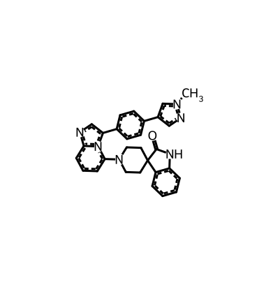 Cn1cc(-c2ccc(-c3cnc4cccc(N5CCC6(CC5)C(=O)Nc5ccccc56)n34)cc2)cn1